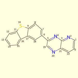 c1cnc2nc(-c3ccc4sc5ccccc5c4c3)cnc2c1